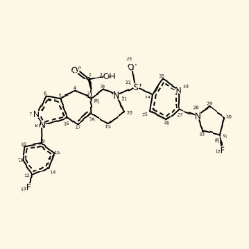 O=C(O)[C@]12Cc3cnn(-c4ccc(F)cc4)c3C=C1CCN([S+]([O-])c1ccc(N3CC[C@@H](F)C3)nc1)C2